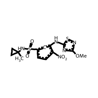 COc1nsc(Nc2cc(S(=O)(=O)NC3(C)CC3)ccc2[N+](=O)[O-])n1